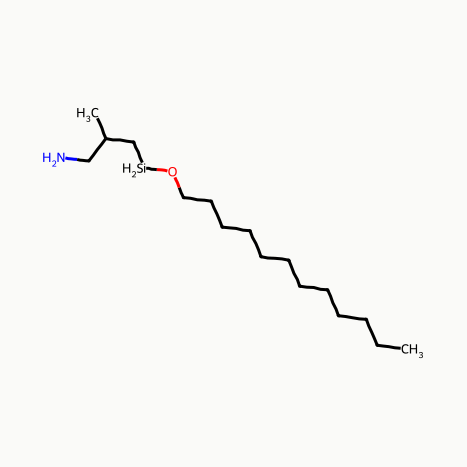 CCCCCCCCCCCCO[SiH2]CC(C)CN